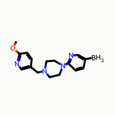 Bc1ccc(N2CCN(Cc3ccc(OC)nc3)CC2)nc1